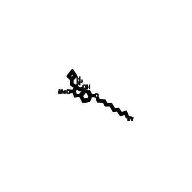 COC(Cc1ccc(OCCCCCCCCC(C)C)cc1)[C@@](N)(CO)CC1CCC1